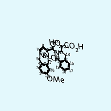 COc1ccc(Cn2ccc(C(=O)N[C@H](Cc3ccccc3Cl)[C@@H](O)C(=O)O)n2)c(F)c1